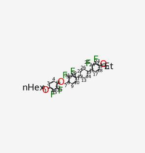 CCCCCCOc1ccc(OCc2ccc(C3CCC(c4ccc(OCC)c(F)c4F)CC3)c(F)c2F)c(F)c1F